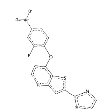 O=[N+]([O-])c1ccc(Oc2ccnc3cc(-c4nccs4)sc23)c(F)c1